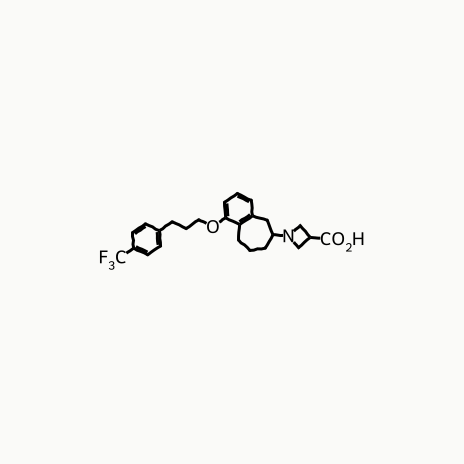 O=C(O)C1CN(C2CCCc3c(cccc3OCCCc3ccc(C(F)(F)F)cc3)C2)C1